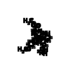 [2H]C([2H])([2H])OC1CC(n2cccc(Nc3cc(N(Cc4ccc(OC)cc4)C([2H])([2H])[2H])n4ncc(C(=O)OCC)c4n3)c2=O)C1